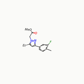 CCc1cc(-c2ccc(C)c(F)c2)nn1CC(=O)OC